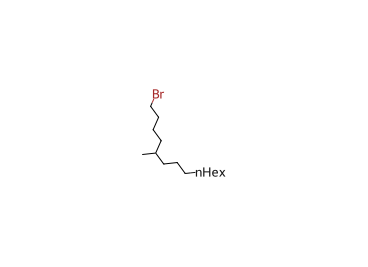 CCCCCCCCCC(C)CCCCBr